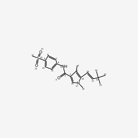 Cc1c(C(=O)Nc2ccc(S(C)(=O)=O)cc2)cn(C)c1C=CC(C)(C)C